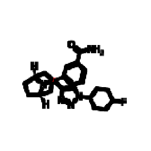 NC(=O)c1cccc([C@H]2C[C@H]3CC[C@@H](C2)N3Cc2cn(C3CCC(F)CC3)nn2)c1